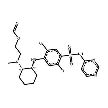 CN(CCOC=O)[C@H]1CCCC[C@@H]1Nc1cc(F)c(S(=O)(=O)Nc2ccncn2)cc1Cl